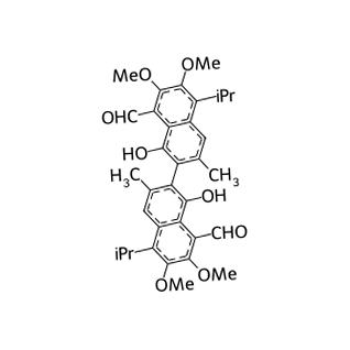 COc1c(OC)c(C=O)c2c(O)c(-c3c(C)cc4c(C(C)C)c(OC)c(OC)c(C=O)c4c3O)c(C)cc2c1C(C)C